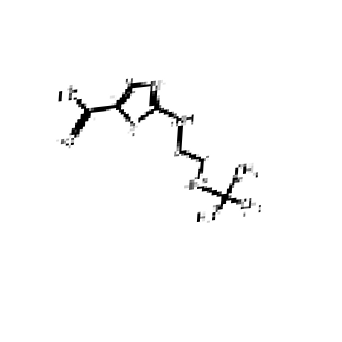 CC(C)(C)NCCNc1ncc(C(=O)O)s1